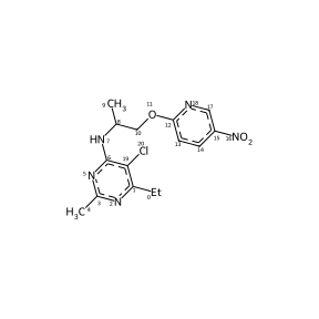 CCc1nc(C)nc(NC(C)COc2ccc([N+](=O)[O-])cn2)c1Cl